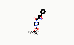 CC(C)(C)OC(=O)N1CCN(C(=O)c2cc(-c3ccccc3)on2)CC1